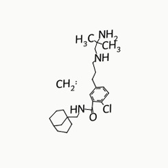 CC(C)(N)CNCCCc1ccc(Cl)c(C(=O)NCC23CCCC(CCC2)C3)c1.[CH2]